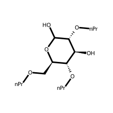 CCCOC[C@H]1OC(O)[C@H](OCCC)[C@@H](O)[C@@H]1OCCC